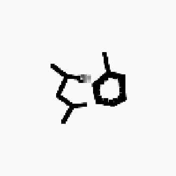 CC(C)CC(C)O.Cc1ccccc1